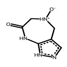 O=C1C[NH+]([O-])Cc2cn[nH]c2N1